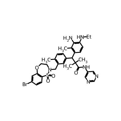 CCNc1ccc(C(c2ccc(C)c(CN3CCOc4cc(Br)ccc4S3(=O)=O)c2)C(C)(C)C(=O)Nc2cncnc2)c(C)c1N